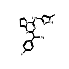 Cc1cc(Nc2nc(C(O)c3ccc(F)cc3)nc3cccn23)n[nH]1